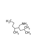 CCCC(C)C(CN)CC(C)C